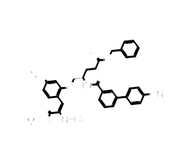 COC(=O)C(=Cc1ccc(C#N)cc1OC[C@@H](CCC(=O)OCc1ccccc1)NC(=O)c1cccc(-c2ccc(C#N)cc2)c1)NC(C)=O